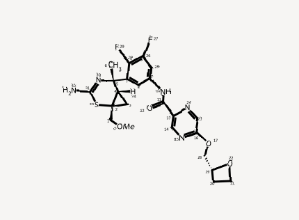 COC[C@]12C[C@H]1[C@@](C)(c1cc(NC(=O)c3cnc(OC[C@H]4CCO4)cn3)cc(F)c1F)N=C(N)S2